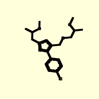 COC(C)COCc1cn(CC(C)OC)nc1-c1ccc(Cl)cc1